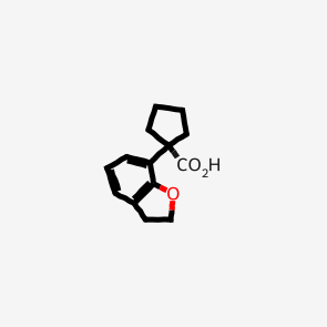 O=C(O)C1(c2cccc3c2OCC3)CCCC1